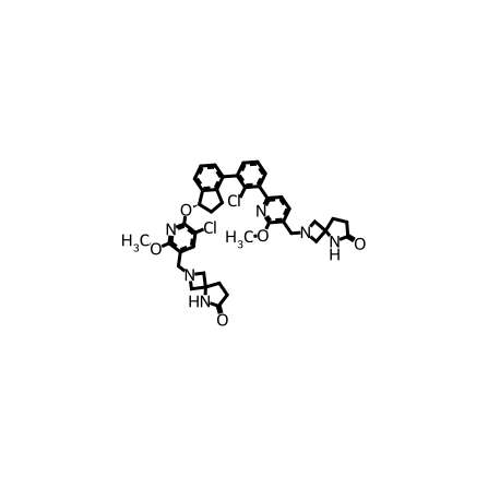 COc1nc(-c2cccc(-c3cccc4c3CC[C@@H]4Oc3nc(OC)c(CN4CC5(CCC(=O)N5)C4)cc3Cl)c2Cl)ccc1CN1CC2(CCC(=O)N2)C1